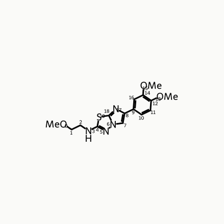 COCCNc1nn2cc(-c3ccc(OC)c(OC)c3)nc2s1